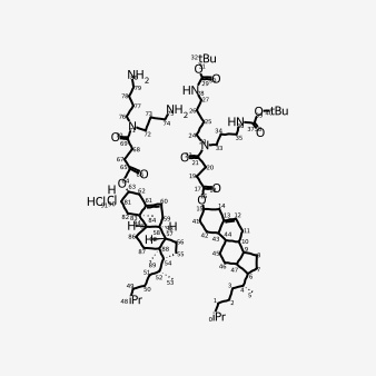 CC(C)CCC[C@@H](C)C1CCC2C3CC=C4CC(OC(=O)CCC(=O)N(CCCCNC(=O)OC(C)(C)C)CCCNC(=O)OC(C)(C)C)CCC4C3CCC21.CC(C)CCC[C@@H](C)[C@H]1CC[C@H]2[C@@H]3CC=C4C[C@@H](OC(=O)CCC(=O)N(CCCN)CCCCN)CC[C@]4(C)[C@H]3CC[C@]12C.Cl.Cl